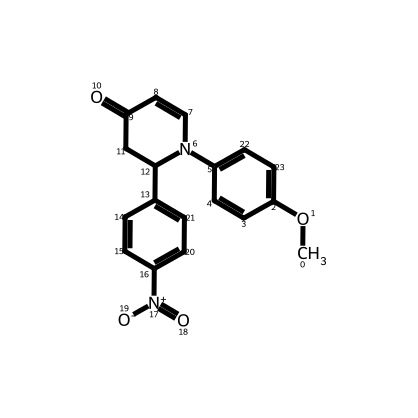 COc1ccc(N2C=CC(=O)CC2c2ccc([N+](=O)[O-])cc2)cc1